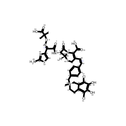 CC(C)(O/N=C(\C(=O)N[C@@H]1C(=O)N2C(C(=O)O)=C(/C=C\c3ccc(C[N+]4(C)CCc5c(Cl)c(O)c(O)c(Cl)c5C4)cc3)CS[C@H]12)c1csc(N)n1)C(=O)O